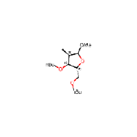 CCCCOC[C@H]1OC(OC)[C@H](C)[C@@H]1OCCCC